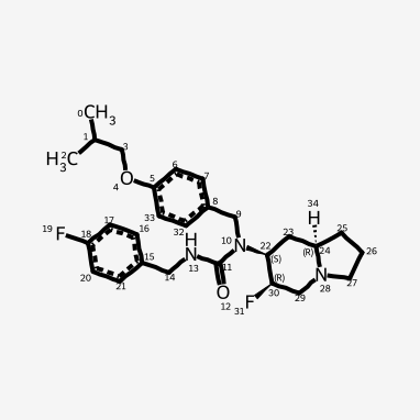 CC(C)COc1ccc(CN(C(=O)NCc2ccc(F)cc2)[C@H]2C[C@H]3CCCN3C[C@H]2F)cc1